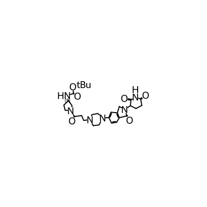 CC(C)(C)OC(=O)N[C@H]1CCN(C(=O)CCN2CCN(c3ccc4c(c3)CN(C3CCC(=O)NC3=O)C4=O)CC2)C1